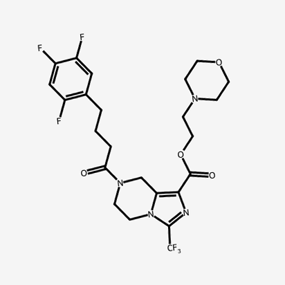 O=C(OCCN1CCOCC1)c1nc(C(F)(F)F)n2c1CN(C(=O)CCCc1cc(F)c(F)cc1F)CC2